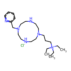 CC[N+](CC)(CC)CCCN1CCNCCN(Cc2ccccn2)CCNCC1.[Cl-]